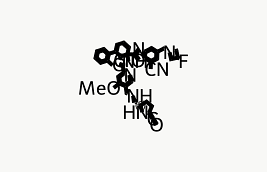 COc1cc(C(=O)NC2(c3nc4cc(CN5CC(F)C5)cc(C#N)c4o3)C=CC=C(c3ccccc3C)C2Cl)ncc1CNC[C@@H]1CCC(=C=O)N1